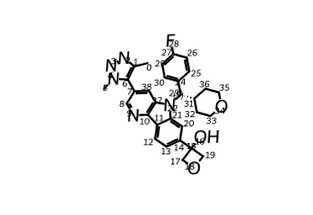 Cc1nnn(C)c1-c1cnc2c3ccc(C4(O)COC4)cc3n([C@H](c3ccc(F)cc3)C3CCOCC3)c2c1